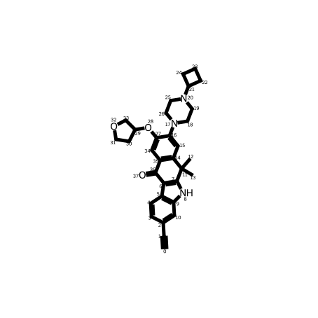 C#Cc1ccc2c3c([nH]c2c1)C(C)(C)c1cc(N2CCN(C4CCC4)CC2)c(OC2CCOC2)cc1C3=O